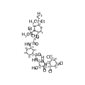 CCC(C)(C)c1ccc(OCC(=O)Nc2cccc(C(=O)Nc3[nH]n(-c4c(Cl)cc(Cl)cc4Cl)c(=O)c3O)c2)c(C(C)(C)CC)c1